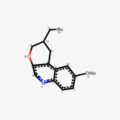 COc1ccc2ncc3c(c2c1)CC(CC(C)(C)C)CO3